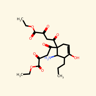 CCC[C]1[C](N)C(C(=O)CC(=O)C(=O)OCC)(C(=O)CC(=O)C(=O)OCC)CC=C1O